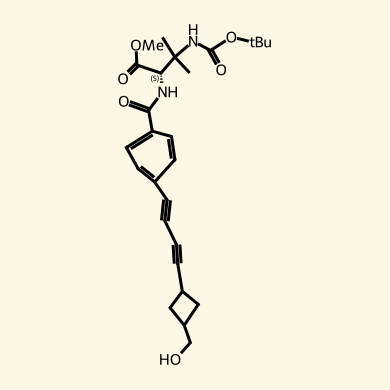 COC(=O)[C@@H](NC(=O)c1ccc(C#CC#CC2CC(CO)C2)cc1)C(C)(C)NC(=O)OC(C)(C)C